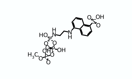 COP(=O)(O)OP(=O)(O)OP(=O)(O)NCCNc1cccc2c(S(=O)(=O)O)cccc12